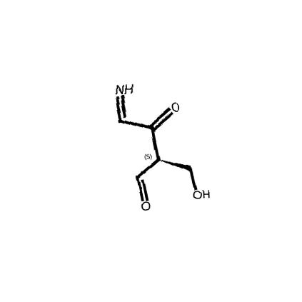 N=CC(=O)[C@H](C=O)CO